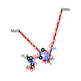 CC[C@@]1(O)C(=O)OCc2c1cc1n(c2=O)Cc2c-1nc1cc(F)c(C)c3c1c2[C@@H](NC(=O)OCc1ccc(NC(=O)[C@H](C)NC(=O)[C@@H](NC(=O)[C@H](CCCCNC(=O)COCCOCCOCCOCCOCCOCCOCCOCCOCCOC)NC(=O)OCc2ccccc2)C(C)C)cc1C(=O)NCCOCCOCCOCCOCCOCCOCCOCCOC)CC3